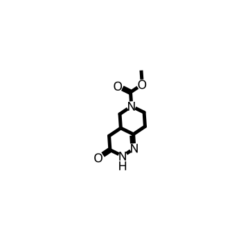 COC(=O)N1CCC2=NNC(=O)CC2C1